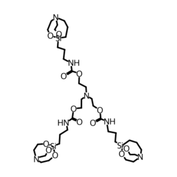 O=C(NCCC[Si]12CCCN(CCO1)CCO2)OCCN(CCOC(=O)NCCC[Si]12CCCN(CCO1)CCO2)CCOC(=O)NCCC[Si]12OCCN(CCO1)CCO2